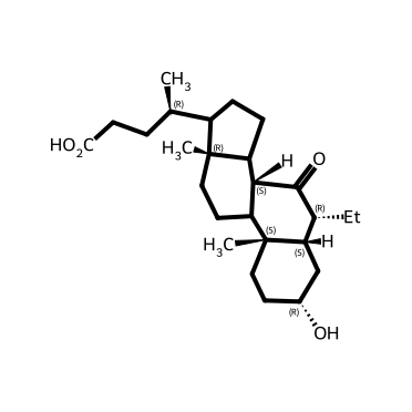 CC[C@H]1C(=O)[C@H]2C3CCC([C@H](C)CCC(=O)O)[C@@]3(C)CCC2[C@@]2(C)CC[C@@H](O)C[C@@H]12